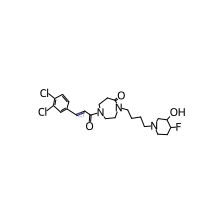 O=C(/C=C/c1ccc(Cl)c(Cl)c1)N1CCC(=O)N(CCCCN2CCC(F)C(O)C2)CC1